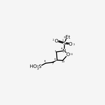 CCS(=O)(=O)N1C[C@H](CCS(=O)(=O)O)CO1